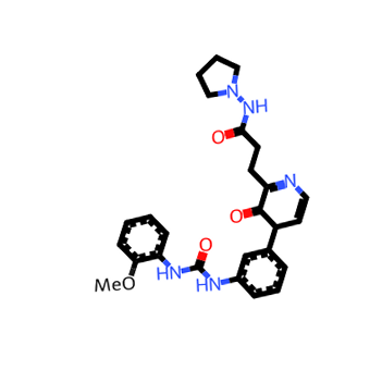 COc1ccccc1NC(=O)Nc1cccc(C2C=CN=C(CCC(=O)NN3CCCC3)C2=O)c1